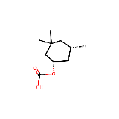 C[C@@H]1C[C@H](OC(=O)O)CC(C)(C)C1